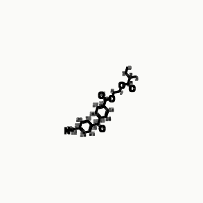 CCC(C)C(=O)OCCOC(=O)c1ccc(C(=O)c2ccc(C#N)cc2)cc1